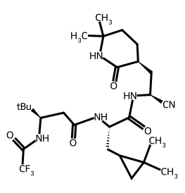 CC1(C)CC[C@@H](C[C@@H](C#N)NC(=O)[C@H](CC2CC2(C)C)NC(=O)C[C@@H](NC(=O)C(F)(F)F)C(C)(C)C)C(=O)N1